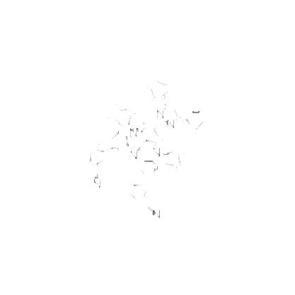 N#Cc1cccc(-c2ccc3c(c2)c2ccccc2n3-c2cc(-c3nc(-c4ccccc4)cc(-c4ccccc4)n3)cc(-n3c4ccccc4c4cc(-c5cccc(C#N)c5)ccc43)c2C#N)c1